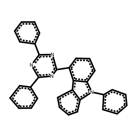 c1ccc(-c2nc(-c3ccccc3)nc(-c3cccc4c3c3ccccc3n4-c3ccccc3)n2)cc1